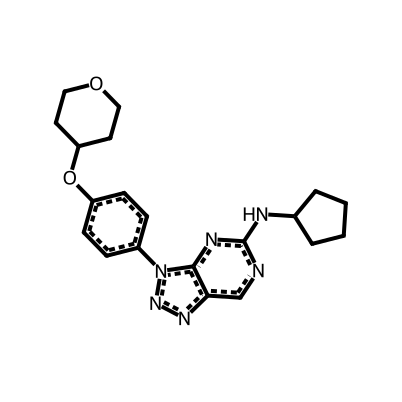 c1cc(-n2nnc3cnc(NC4CCCC4)nc32)ccc1OC1CCOCC1